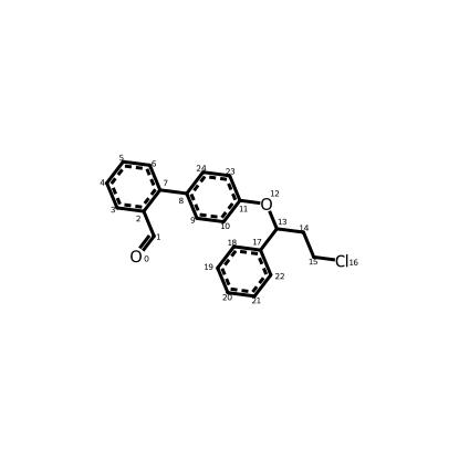 O=Cc1ccccc1-c1ccc(OC(CCCl)c2ccccc2)cc1